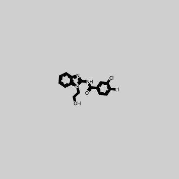 O=C(Nc1nc2ccccc2n1CCO)c1ccc(Cl)c(Cl)c1